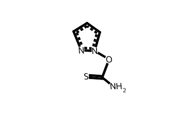 NC(=S)On1cccn1